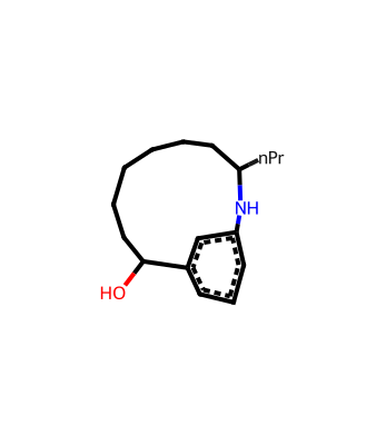 CCCC1CCCCCCC(O)c2cccc(c2)N1